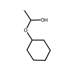 [CH2]C(O)OC1CCCCC1